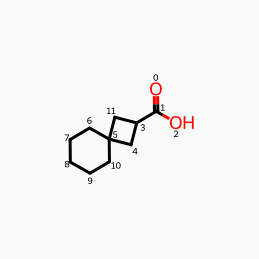 O=C(O)C1CC2(CCCCC2)C1